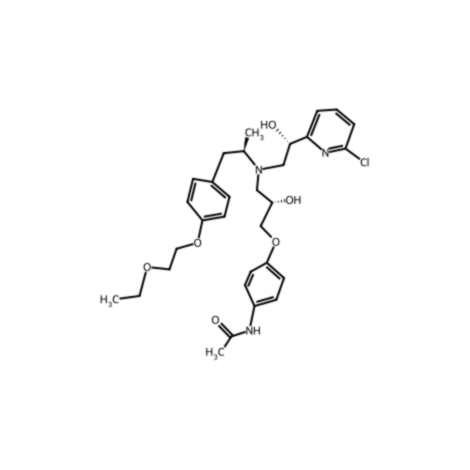 CCOCCOc1ccc(C[C@@H](C)N(C[C@H](O)COc2ccc(NC(C)=O)cc2)C[C@H](O)c2cccc(Cl)n2)cc1